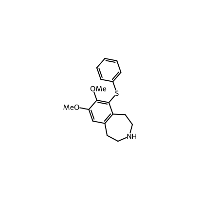 COc1cc2c(c(Sc3ccccc3)c1OC)CCNCC2